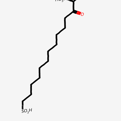 CCCCCCCCCCC(C(=O)CCCCCCCCCCCS(=O)(=O)O)S(=O)(=O)O